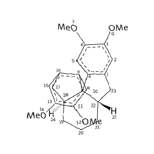 COc1cc2c(cc1OC)C13c4cc(OC)c(OC)cc4C[C@@H]1CCC[C@H]3C2